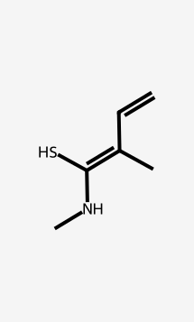 C=C/C(C)=C(\S)NC